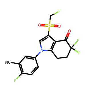 N#Cc1cc(-n2cc(S(=O)(=O)CF)c3c2CCC(F)(F)C3=O)ccc1F